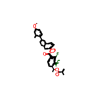 C=C(C)C(=O)OC(C)c1ccc(C(=O)Oc2ccc3cc(-c4ccc(OC)cc4C)ccc3c2)c(F)c1F